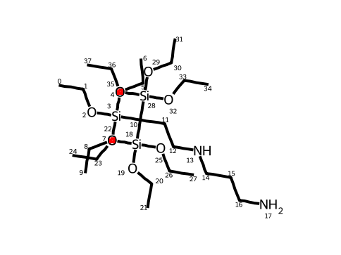 CCO[Si](OCC)(OCC)C(CCNCCCN)([Si](OCC)(OCC)OCC)[Si](OCC)(OCC)OCC